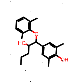 CCCC(O)C(Oc1c(C)cccc1C)c1cc(C)c(O)c(C)c1